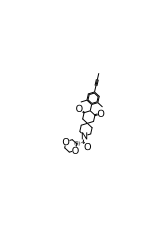 CC#Cc1cc(C)c(C2C(=O)CC3(CCN(C(=O)[C@H]4COCCO4)CC3)CC2=O)c(C)c1